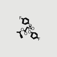 C#CC(C)OC(=O)CP(=O)(Oc1ccc(F)cc1)Oc1ccc(F)cc1